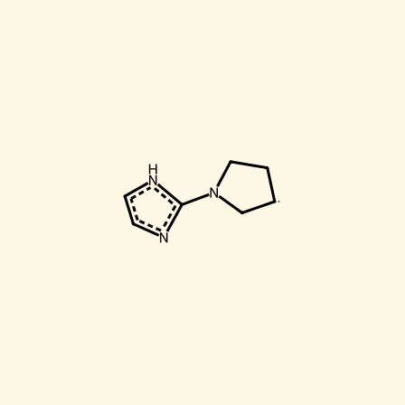 [CH]1CCN(c2ncc[nH]2)C1